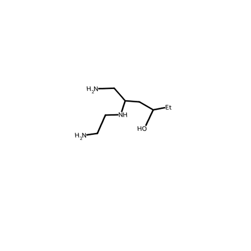 CCC(O)CC(CN)NCCN